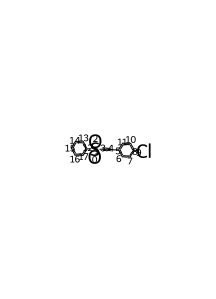 O=S(=O)(C#Cc1ccc(Cl)cc1)c1ccccc1